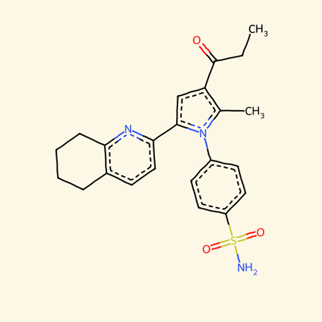 CCC(=O)c1cc(-c2ccc3c(n2)CCCC3)n(-c2ccc(S(N)(=O)=O)cc2)c1C